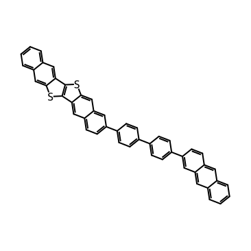 c1ccc2cc3cc(-c4ccc(-c5ccc(-c6ccc7cc8c(cc7c6)sc6c7cc9ccccc9cc7sc86)cc5)cc4)ccc3cc2c1